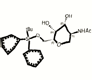 CC(=O)N[C@H]1CO[C@H](CO[Si](c2ccccc2)(c2ccccc2)C(C)(C)C)[C@H](O)[C@@H]1O